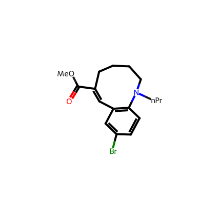 CCCN1CCCC/C(C(=O)OC)=C\c2cc(Br)ccc21